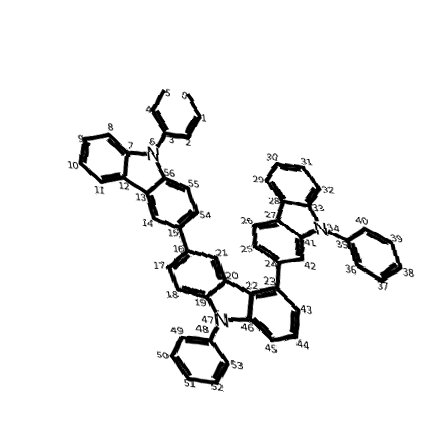 C/C=C\C(=C/C)n1c2ccccc2c2cc(-c3ccc4c(c3)c3c(-c5ccc6c7ccccc7n(-c7ccccc7)c6c5)cccc3n4-c3ccccc3)ccc21